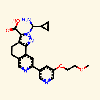 COCCOc1cncc(-c2cc3c(cn2)CCc2c-3nn(C(N)C3CC3)c2C(=O)O)c1